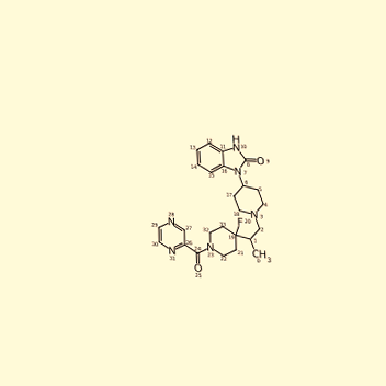 CC(CN1CCC(n2c(=O)[nH]c3ccccc32)CC1)C1(F)CCN(C(=O)c2cnccn2)CC1